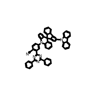 N#Cc1ccc(N2c3ccccc3C3(c4ccccc4-c4cc(-n5c6ccccc6c6ccccc65)ccc43)c3ccccc32)cc1-c1nc(-c2ccccc2)nc(-c2ccccc2)n1